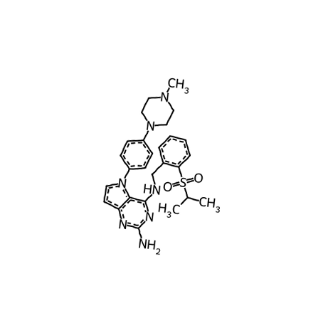 CC(C)S(=O)(=O)c1ccccc1CNc1nc(N)nc2ccn(-c3ccc(N4CCN(C)CC4)cc3)c12